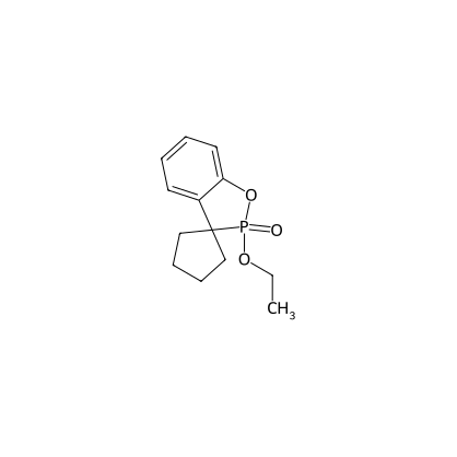 CCOP1(=O)Oc2ccccc2C12CCCC2